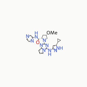 CO[C@H]1C[C@@H](C(=O)Nc2cnccn2)N(c2nc(Nc3cc(C4CC4)[nH]n3)n3cccc3n2)C1